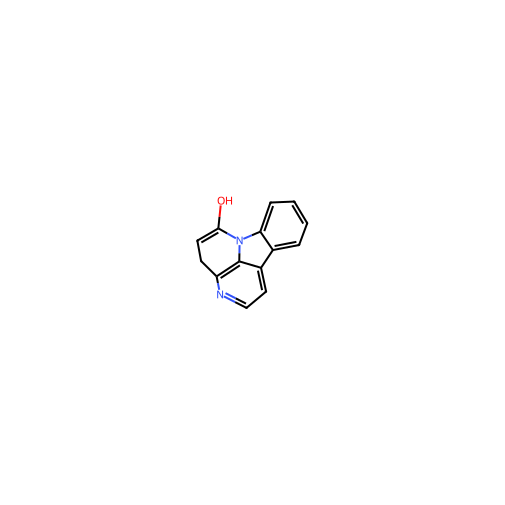 OC1=CCc2nccc3c4ccccc4n1c23